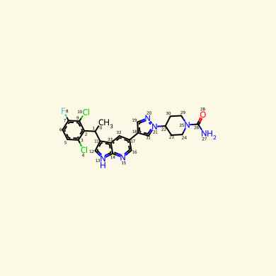 CC(c1c(Cl)ccc(F)c1Cl)c1c[nH]c2ncc(-c3cnn(C4CCN(C(N)=O)CC4)c3)cc12